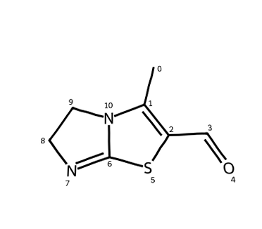 CC1=C(C=O)SC2=NCCN21